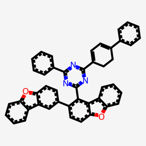 C1=C(c2ccccc2)CCC(c2nc(-c3ccccc3)nc(-c3c(-c4ccc5oc6ccccc6c5c4)ccc4oc5ccccc5c34)n2)=C1